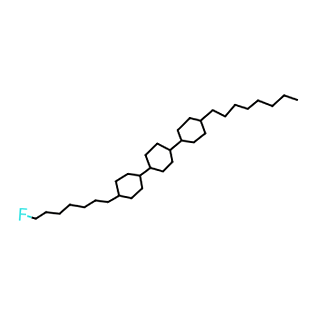 CCCCCCCCC1CCC(C2CCC(C3CCC(CCCCCCCF)CC3)CC2)CC1